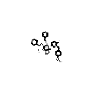 CCOc1ccc(Cc2cc([C@H]3[C@H](OCc4ccccc4)[C@@H](OCc4ccccc4)[C@H](C)[C@@H](CC)C3(F)F)ccc2Cl)cc1